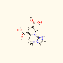 CCC1=C(C(=O)O)CC(C(=O)O)=CN1c1ncc[nH]1